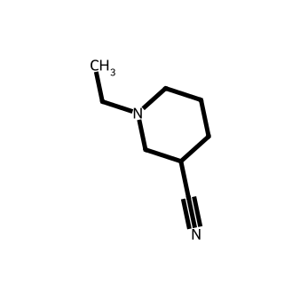 CCN1CCCC(C#N)C1